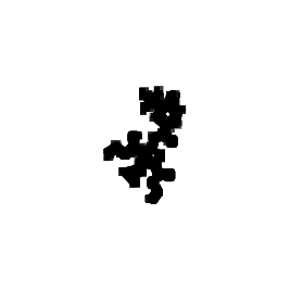 CCOC(=O)c1nn(CC(=O)c2ccc(C)c(C(F)(F)F)c2)c(C(=O)OCC)c1C1CC1